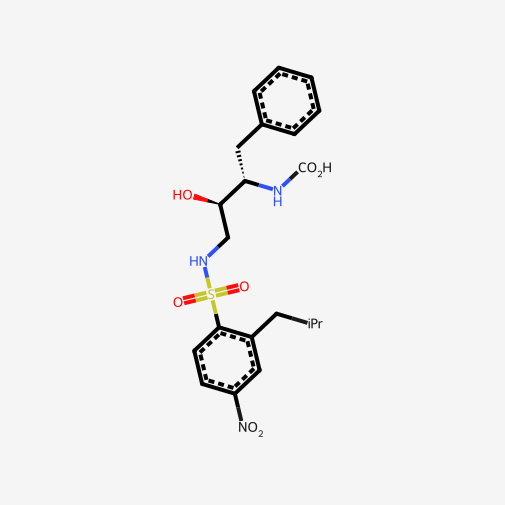 CC(C)Cc1cc([N+](=O)[O-])ccc1S(=O)(=O)NC[C@@H](O)[C@H](Cc1ccccc1)NC(=O)O